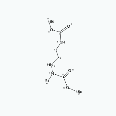 CCN(NCCNC(=O)OC(C)(C)C)C(=O)OC(C)(C)C